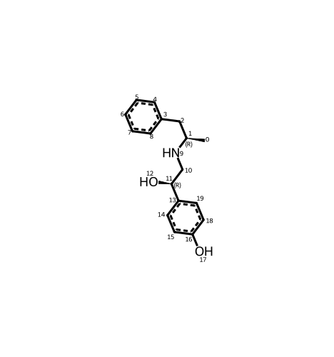 C[C@H](Cc1ccccc1)NC[C@H](O)c1ccc(O)cc1